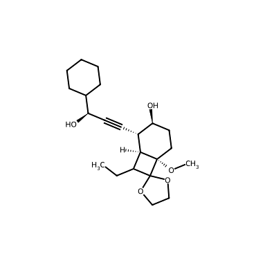 CCC1[C@H]2[C@H](C#C[C@@H](O)C3CCCCC3)[C@@H](O)CC[C@@]2(OC)C12OCCO2